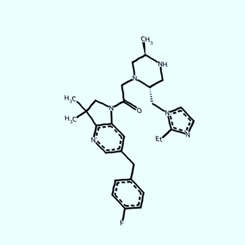 CCc1nccn1C[C@H]1CN[C@H](C)CN1CC(=O)N1CC(C)(C)c2ncc(Cc3ccc(F)cc3)cc21